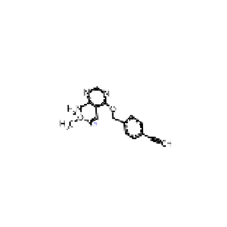 C#Cc1ccc(COc2ncnc(N)c2/C=N\OC)cc1